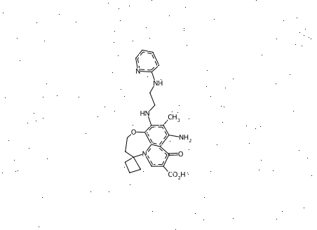 Cc1c(NCCNc2ccccn2)c2c3c(c1N)c(=O)c(C(=O)O)cn3C1(CCC1)CCO2